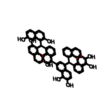 Oc1ccc2ccc(O)c(C(c3c(O)ccc4ccc(O)cc34)c3cccc4c(-c5cc(C(c6cccc7ccccc67)c6cccc7c(O)c(O)ccc67)c6ccc(O)c(O)c6c5)cccc34)c2c1